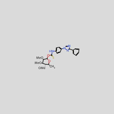 CO[C@@H]1[C@@H](OC)[C@@H](OC)C(OC(=S)Nc2ccc(-n3cnc(-c4ccccc4)n3)cc2)O[C@H]1C